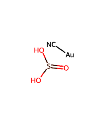 N#[C][Au].O=S(O)O